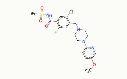 CC(C)S(=O)(=O)NC(=O)c1cc(Cl)c(CN2CCN(c3ccc(OC(F)(F)F)cn3)CC2)cc1F